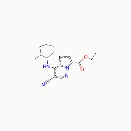 CCOC(=O)c1ccc2c(NC3CCCCC3C)c(C#N)cnn12